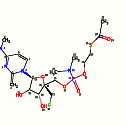 C=C1N=C(NC)C=CN1[C@H]1O[C@](CF)(COP(=O)(OCCSC(C)=O)N(C)C)[C@H](O)C1O